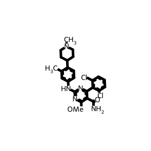 COc1nc(Nc2ccc(C3CCN(C)CC3)c(C)c2)nc(-c2c(Cl)cccc2Cl)c1C(N)=O